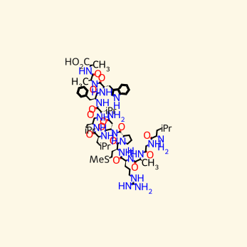 CSCC[C@H](NC(=O)[C@H](CCCNC(=N)N)NC(=O)[C@H](C)NC(=O)CNC(=O)[C@@H](N)CC(C)C)C(=O)N1CCC[C@H]1C(=O)N[C@@H](CC(N)=O)C(=O)N[C@@H](CC(C)C)C(=O)N[C@@H](CC(C)C)C(=O)N[C@H](C(=O)N[C@@H](Cc1ccccc1)C(=O)N[C@@H](Cc1c[nH]c2ccccc12)C(=O)N[C@@H](C)C(=O)N[C@@H](C)C(=O)O)C(C)C